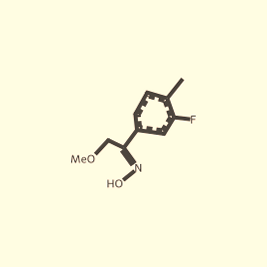 COC/C(=N\O)c1ccc(C)c(F)c1